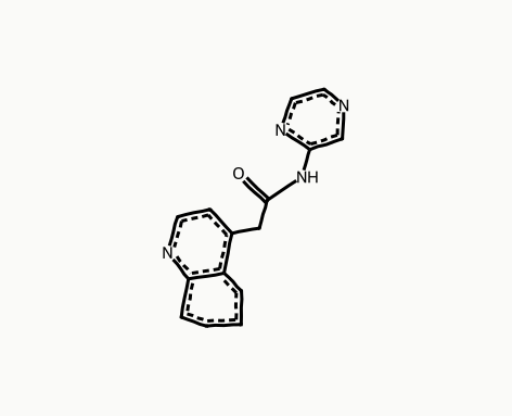 O=C(Cc1ccnc2ccccc12)Nc1cnccn1